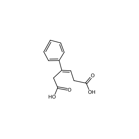 O=C(O)CC=C(CC(=O)O)c1ccccc1